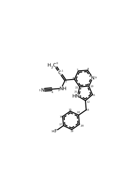 C=C=C(NC#N)c1ccnc2cc(Cc3ccc(F)cc3)[nH]c12